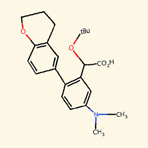 CN(C)c1ccc(-c2ccc3c(c2)CCCO3)c(C(OC(C)(C)C)C(=O)O)c1